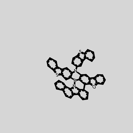 c1ccc2c(c1)ccc1c3cccc4c3n(c21)B1c2cc3sc5ccccc5c3cc2N(c2ccc3sc5ccccc5c3c2)c2cc3c(oc5ccccc53)c-4c21